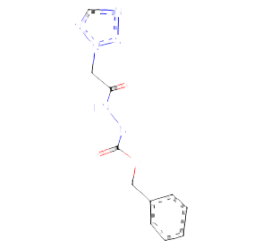 O=C(Cn1ncnn1)NNC(=O)OCc1ccccc1